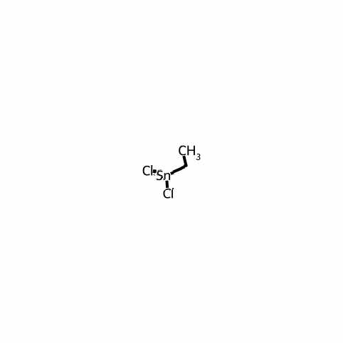 C[CH2][Sn]([Cl])[Cl]